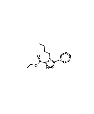 CCCCn1c(C(=O)OCC)nnc1-c1ccccc1